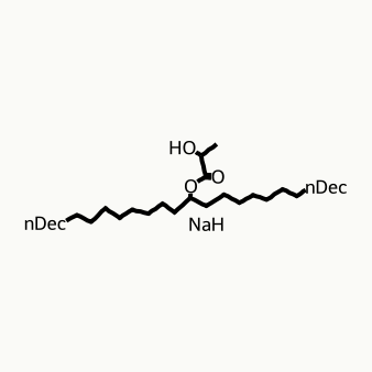 CCCCCCCCCCCCCCCCCCC(CCCCCCCCCCCCCCCCC)OC(=O)C(C)O.[NaH]